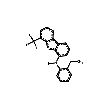 CCc1ccccc1N(I)c1cccc2c1sc1c(C(F)(F)F)cccc12